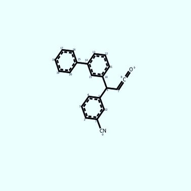 N#Cc1cccc(C(C=C=O)c2cccc(-c3ccccc3)c2)c1